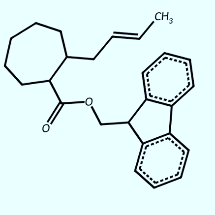 CC=CCC1CCCCCC1C(=O)OCC1c2ccccc2-c2ccccc21